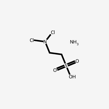 N.O=S(=O)(O)CCN(Cl)Cl